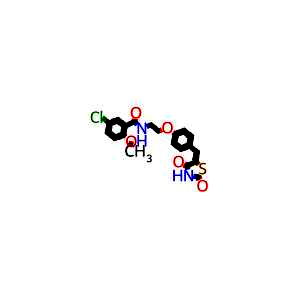 COc1ccc(Cl)cc1C(=O)NCCOc1ccc(C=C2SC(=O)NC2=O)cc1